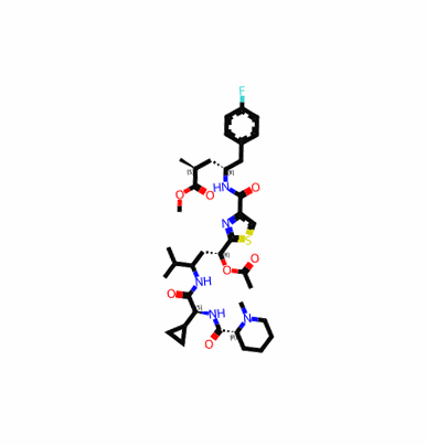 COC(=O)[C@@H](C)C[C@H](Cc1ccc(F)cc1)NC(=O)c1csc([C@@H](CC(NC(=O)[C@@H](NC(=O)[C@H]2CCCCN2C)C2CC2)C(C)C)OC(C)=O)n1